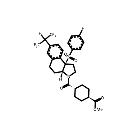 COC(=O)[C@H]1CC[C@H](C(=O)N2CC[C@@]3(S(=O)(=O)c4ccc(F)cc4)c4ccc(C(F)(C(F)(F)F)C(F)(F)F)cc4CC[C@@H]23)CC1